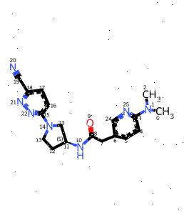 CN(C)c1ccc(CC(=O)N[C@H]2CCN(c3ccc(C#N)nn3)C2)cn1